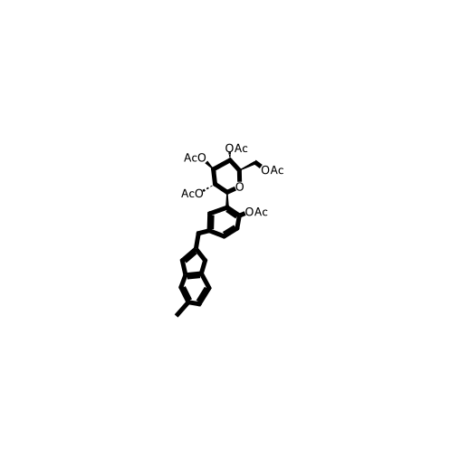 CC(=O)OC[C@H]1O[C@@H](c2cc(CC3=Cc4cc(C)ccc4C3)ccc2OC(C)=O)[C@H](OC(C)=O)[C@@H](OC(C)=O)[C@@H]1OC(C)=O